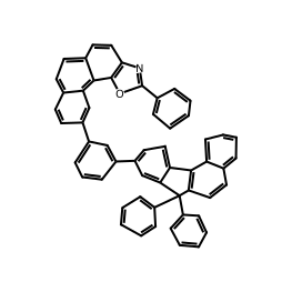 c1ccc(-c2nc3ccc4ccc5ccc(-c6cccc(-c7ccc8c(c7)C(c7ccccc7)(c7ccccc7)c7ccc9ccccc9c7-8)c6)cc5c4c3o2)cc1